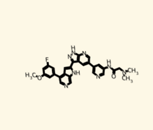 COc1cc(F)cc(-c2cncc3[nH]c(-c4n[nH]c5ncc(-c6cncc(NC(=O)CN(C)C)c6)cc45)cc23)c1